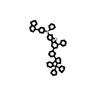 c1ccc(-c2cc(-c3cccc(-c4cccc5c4-c4ccccc4C5(c4ccccc4)c4ccccc4)c3)cc3c2oc2cc(N(c4ccccc4)c4ccc(-c5cccc6ccccc56)cc4)ccc23)cc1